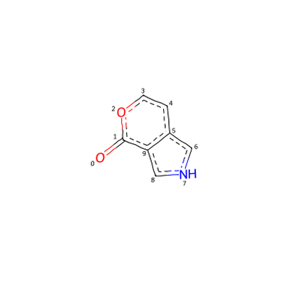 O=c1occc2c[nH]cc12